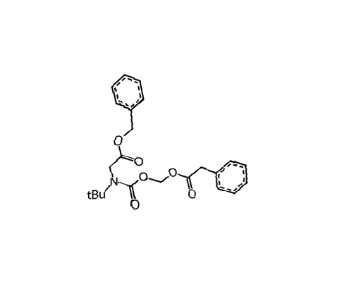 CC(C)(C)N(CC(=O)OCc1ccccc1)C(=O)OCOC(=O)Cc1ccccc1